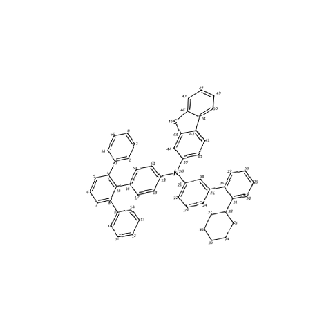 c1ccc(-c2cccc(-c3ccccc3)c2-c2ccc(N(c3cccc(-c4ccccc4C4CCCCC4)c3)c3ccc4c(c3)sc3ccccc34)cc2)cc1